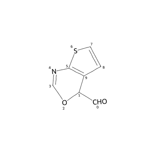 O=CC1OC=Nc2sccc21